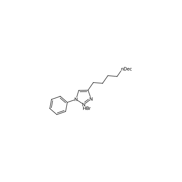 Br.CCCCCCCCCCCCCCc1cn(-c2ccccc2)nn1